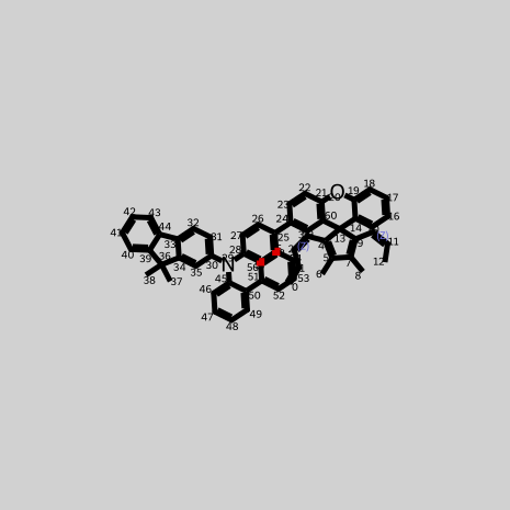 C=C/C=C\C1=C(C)C(C)=C(/C=C\C)C12c1ccccc1Oc1ccc(-c3ccc(N(c4ccc5c(c4)C(C)(C)c4ccccc4-5)c4ccccc4-c4ccccc4)cc3)cc12